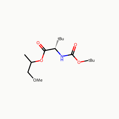 COCC(C)OC(=O)[C@@H](NC(=O)OC(C)(C)C)C(C)(C)C